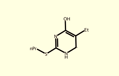 CCCSC1=NC(O)=C(CC)[CH]N1